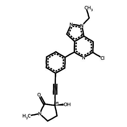 CCn1ncc2c(-c3cccc(C#C[C@]4(O)CCN(C)C4=O)c3)nc(Cl)cc21